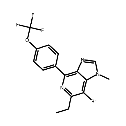 CCc1nc(-c2ccc(OC(F)(F)F)cc2)c2ncn(C)c2c1Br